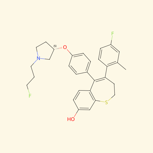 Cc1cc(F)ccc1C1=C(c2ccc(O[C@H]3CCN(CCCF)C3)cc2)c2ccc(O)cc2SCC1